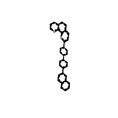 c1ccc2cc(-c3ccc(-c4ccc(-c5ccc6ccc7cccnc7c6n5)cc4)cc3)ccc2c1